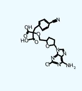 N#Cc1ccc(CC(OCC2CCC(n3cnc4c(N)nc(Cl)nc43)O2)(C(=O)O)C(=O)O)cc1